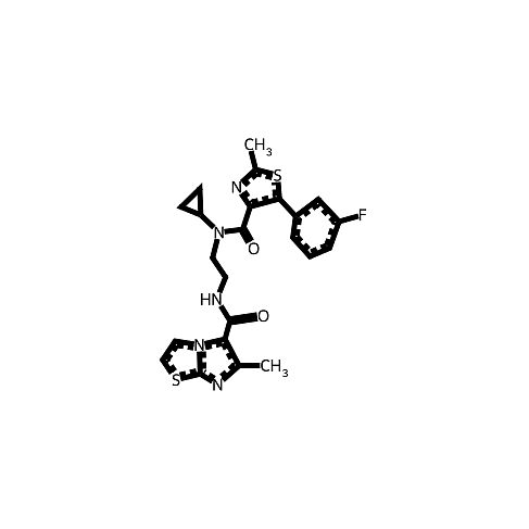 Cc1nc(C(=O)N(CCNC(=O)c2c(C)nc3sccn23)C2CC2)c(-c2cccc(F)c2)s1